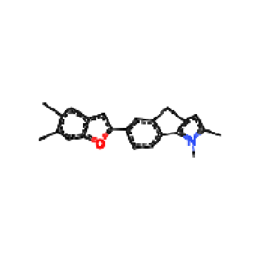 Cc1cc2cc(-c3ccc4c(c3)Cc3cc(C)n(C)c3-4)oc2cc1C